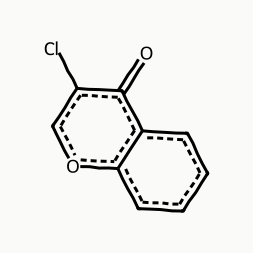 O=c1c(Cl)coc2ccccc12